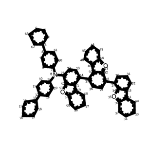 c1ccc(-c2ccc(N(c3ccc(-c4ccccc4)cc3)c3ccc(-c4ccc(-c5cccc6c5oc5ccccc56)c5oc6ccccc6c45)c4c3oc3ccccc34)cc2)cc1